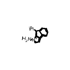 CC(C)C1=C2C(=CC=[N+]2N)c2ccccc21